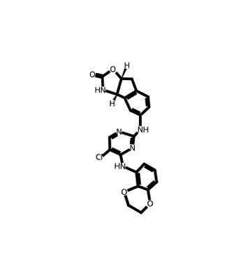 O=C1N[C@H]2c3cc(Nc4ncc(Cl)c(Nc5cccc6c5OCCO6)n4)ccc3C[C@H]2O1